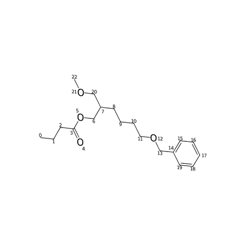 CCCC(=O)OCC(CCCCOCc1ccccc1)COC